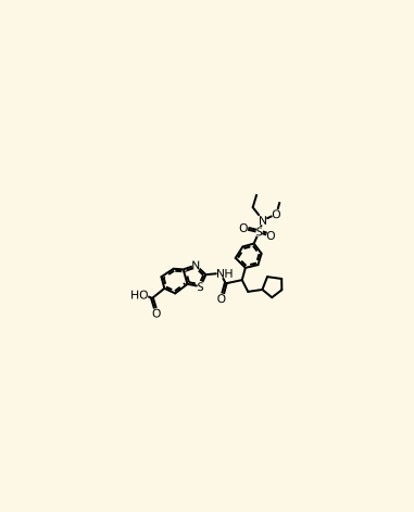 CCN(OC)S(=O)(=O)c1ccc(C(CC2CCCC2)C(=O)Nc2nc3ccc(C(=O)O)cc3s2)cc1